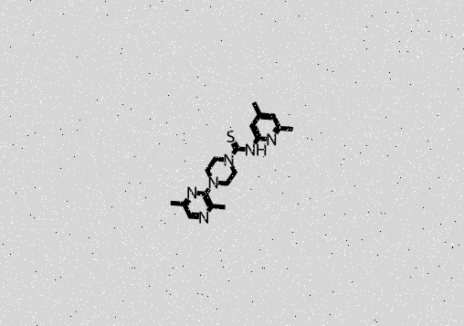 Cc1cc(C)nc(NC(=S)N2CCN(c3nc(C)cnc3C)CC2)c1